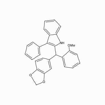 COc1ccccc1C(c1ccc2c(c1)OCO2)c1[nH]c2ccccc2c1-c1ccccc1